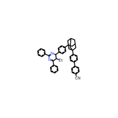 CCC1C(c2ccccc2)=NC(c2ccccc2)=NC1c1ccc(C23CC4CC(CC(c5ccc(-c6ccc(C#N)cc6)cc5)(C4)C2)C3)cc1